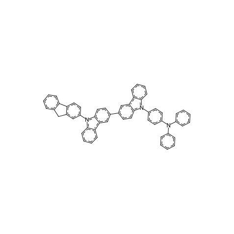 c1ccc(N(c2ccccc2)c2ccc(-n3c4ccccc4c4cc(-c5ccc6c(c5)c5ccccc5n6-c5ccc6c(c5)Cc5ccccc5-6)ccc43)cc2)cc1